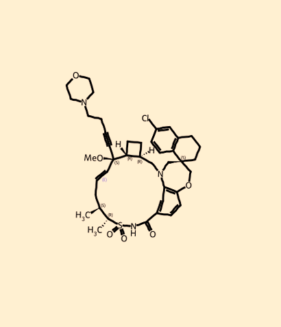 CO[C@]1(C#CCCN2CCOCC2)/C=C/C[C@H](C)[C@@H](C)S(=O)(=O)NC(=O)c2ccc3c(c2)N(C[C@@H]2CC[C@H]21)C[C@@]1(CCCc2cc(Cl)ccc21)CO3